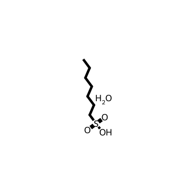 CCCCCCCS(=O)(=O)O.O